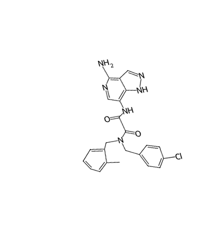 Cc1ccccc1CN(Cc1ccc(Cl)cc1)C(=O)C(=O)Nc1cnc(N)c2cn[nH]c12